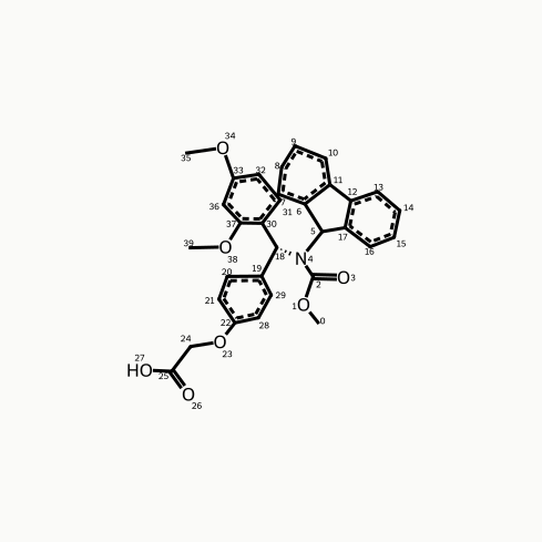 COC(=O)N(C1c2ccccc2-c2ccccc21)[C@H](c1ccc(OCC(=O)O)cc1)c1ccc(OC)cc1OC